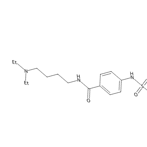 CCN(CC)CCCCNC(=O)c1ccc(NS(C)(=O)=O)cc1